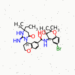 CCC1(CC)CC(=O)N([C@@H]2CCOc3ccc(C(=O)N[C@@H]4c5cc(Br)ccc5OC(C)(C)[C@H]4O)cc32)C(=N)N1